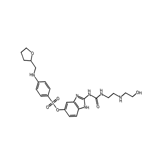 O=C(NCCNCCO)Nc1nc2cc(OS(=O)(=O)c3ccc(NCC4CCCO4)cc3)ccc2[nH]1